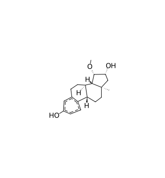 CO[C@H]1[C@H]2[C@@H]3CCc4cc(O)ccc4[C@H]3CC[C@]2(C)C[C@H]1O